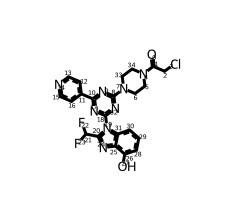 O=C(CCl)N1CCN(c2nc(-c3ccncc3)nc(-n3c(C(F)F)nc4c(O)cccc43)n2)CC1